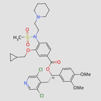 COc1ccc([C@H](Cc2c(Cl)cncc2Cl)OC(=O)c2ccc(N(CCN3CCCCC3)S(C)(=O)=O)c(OCC3CC3)c2)cc1OC